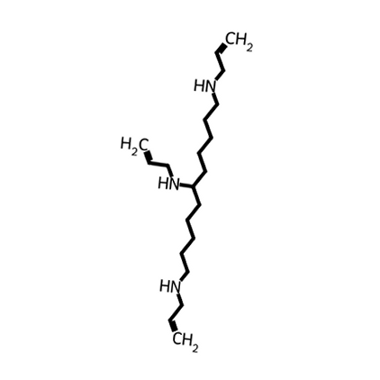 C=CCNCCCCCC(CCCCCNCC=C)NCC=C